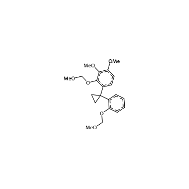 COCOc1ccccc1C1(c2ccc(OC)c(OC)c2OCOC)CC1